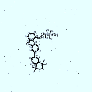 CC1(C)CCC(C)(C)c2cc(-c3ccc4c(c3)oc3cccc(BOC(C)(C)C(C)(C)O)c34)ccc21